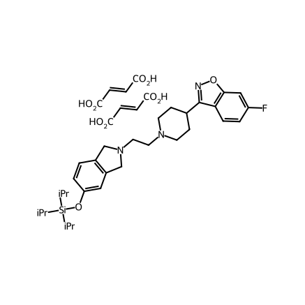 CC(C)[Si](Oc1ccc2c(c1)CN(CCN1CCC(c3noc4cc(F)ccc34)CC1)C2)(C(C)C)C(C)C.O=C(O)C=CC(=O)O.O=C(O)C=CC(=O)O